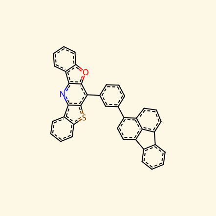 c1cc(-c2ccc3c4c(cccc24)-c2ccccc2-3)cc(-c2c3oc4ccccc4c3nc3c2sc2ccccc23)c1